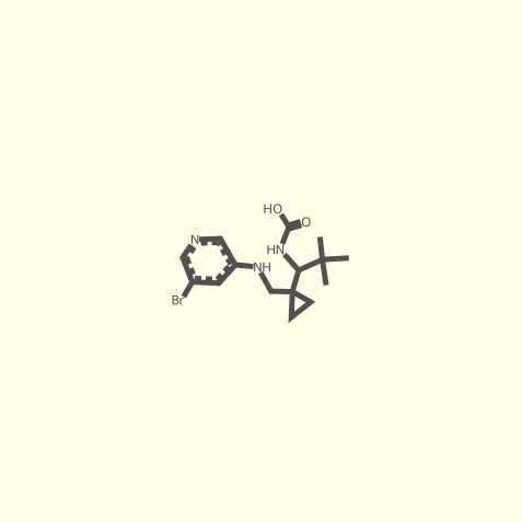 CC(C)(C)C(NC(=O)O)C1(CNc2cncc(Br)c2)CC1